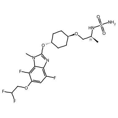 C[C@@H](CO[C@H]1CC[C@H](Oc2nc3c(F)cc(OCC(F)F)c(F)c3n2C)CC1)NS(N)(=O)=O